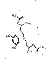 CC(=O)OC(O)CCOCCC(O)OC(C)=O.Oc1cccc(O)c1